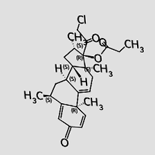 CCC(=O)O[C@]1(C(=O)CCl)[C@@H](C)C[C@H]2[C@@H]3C[C@H](C)C4=CC(=O)C=C[C@]4(C)C3=CC[C@@]21C